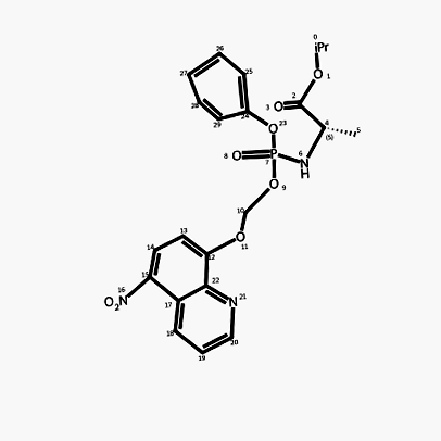 CC(C)OC(=O)[C@H](C)NP(=O)(OCOc1ccc([N+](=O)[O-])c2cccnc12)Oc1ccccc1